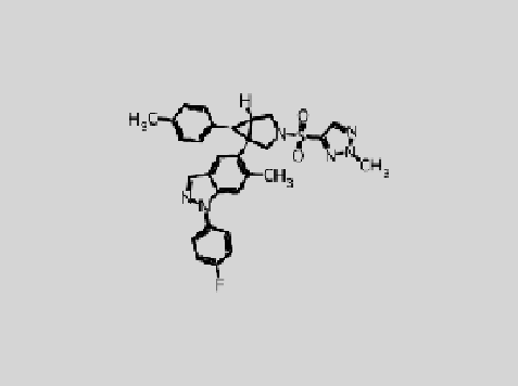 Cc1ccc([C@H]2[C@@H]3CN(S(=O)(=O)c4cnn(C)n4)C[C@@]32c2cc3cnn(-c4ccc(F)cc4)c3cc2C)cc1